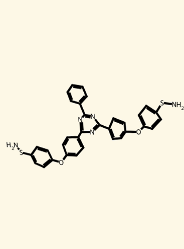 NSc1ccc(Oc2ccc(-c3nc(-c4ccccc4)nc(-c4ccc(Oc5ccc(SN)cc5)cc4)n3)cc2)cc1